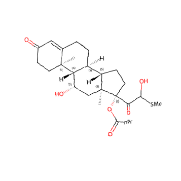 CCCC(=O)O[C@@]1(C(=O)C(O)SC)CC[C@H]2[C@@H]3CCC4=CC(=O)CC[C@]4(C)[C@H]3[C@@H](O)C[C@@]21C